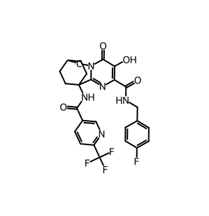 O=C(NC12CCC(CC1)Cn1c2nc(C(=O)NCc2ccc(F)cc2)c(O)c1=O)c1ccc(C(F)(F)F)nc1